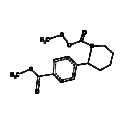 COOC(=O)N1CCCCC1c1ccc(C(=O)OC)cc1